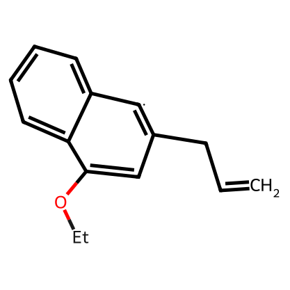 C=CCc1[c]c2ccccc2c(OCC)c1